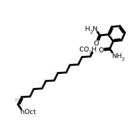 CCCCCCCC/C=C\CCCCCCCCCCCC(=O)O.NC(=O)c1ccccc1C(N)=O